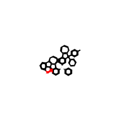 Cc1ccc(C2(C3=CCCC=C3)C3=C(C=CC=CC3)c3ccc(N(c4ccccc4)c4cccc5c4C4=CC=CCC6=C4C54C5=C(CCC=C5)c5cccc6c54)cc32)cc1